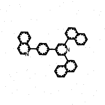 c1ccc2c(-c3cc(-c4ccc(-c5nccc6ccccc56)cc4)cc(-c4cccc5ccccc45)n3)cccc2c1